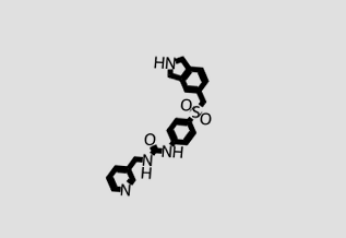 O=C(NCc1cccnc1)Nc1ccc(S(=O)(=O)Cc2ccc3c(c2)CNC3)cc1